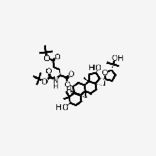 CC(C)(C)OC(=O)CC[C@H](NC(=O)OC(C)(C)C)C(=O)O[C@H]1CC2C3(CC[C@]4(C)[C@@H]([C@@]5(C)CC[C@@H](C(C)(C)O)O5)[C@@H](O)C[C@@]24C)C[C@@]32CC[C@H](O)C(C)(C)[C@H]12